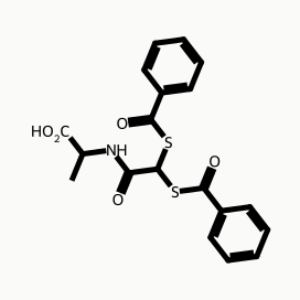 CC(NC(=O)C(SC(=O)c1ccccc1)SC(=O)c1ccccc1)C(=O)O